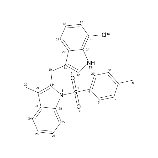 Cc1ccc(S(=O)(=O)n2c(Cc3c[nH]c4c(Cl)cccc34)c(C)c3ccccc32)cc1